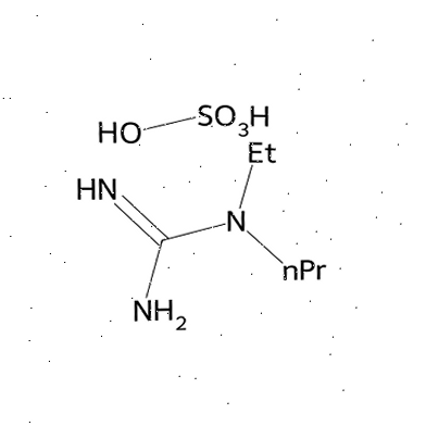 CCCN(CC)C(=N)N.O=S(=O)(O)O